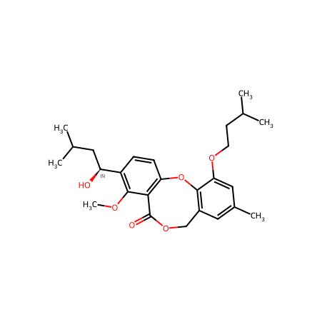 COc1c([C@@H](O)CC(C)C)ccc2c1C(=O)OCc1cc(C)cc(OCCC(C)C)c1O2